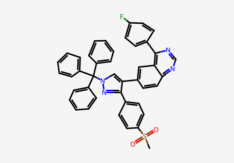 CS(=O)(=O)c1ccc(-c2nn(C(c3ccccc3)(c3ccccc3)c3ccccc3)cc2-c2ccc3ncnc(-c4ccc(F)cc4)c3c2)cc1